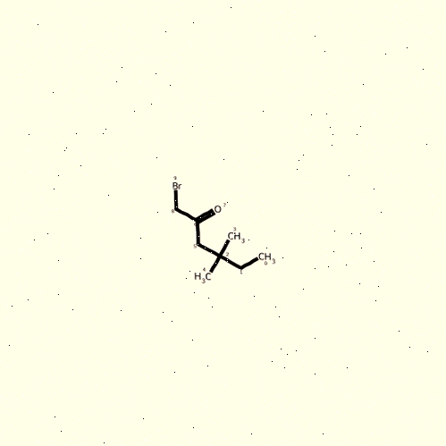 CCC(C)(C)CC(=O)CBr